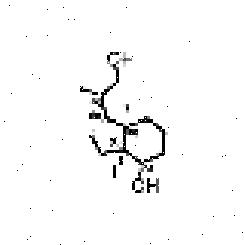 C[C@@H](CO)[C@H]1CC[C@H]2[C@@H](O)CCC[C@]12C